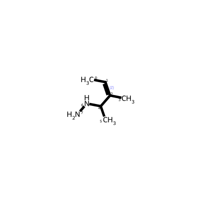 C/C=C(/C)C(C)NN